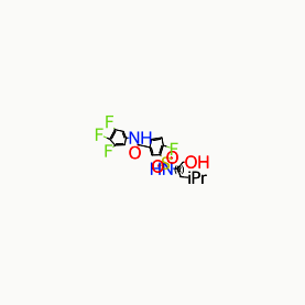 CC(C)C[C@H](CO)NS(=O)(=O)c1cc(C(=O)Nc2cc(F)c(F)c(F)c2)ccc1F